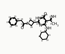 CC(=N)c1c(NC2CCCCC2)nc(C2CN(C(=O)Cc3ccccc3)C2)[nH]c1=O